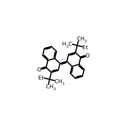 CCC(C)(C)C1=C/C(=C2/C=C(C(C)(C)CC)C(=O)c3ccccc32)c2ccccc2C1=O